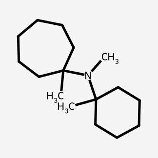 CN(C1(C)CCCCCC1)C1(C)CCCCC1